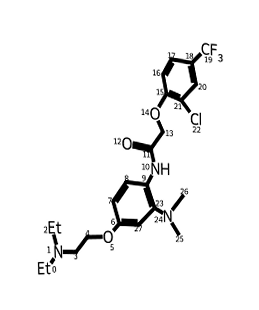 CCN(CC)CCOc1ccc(NC(=O)COc2ccc(C(F)(F)F)cc2Cl)c(N(C)C)c1